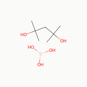 CC(C)(O)CC(C)(C)O.OB(O)O